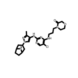 Cc1nn(C2CC3CCC(C2)N3C)cc1Nc1ncc(Cl)c(NCCCN2CCOCC2=O)n1